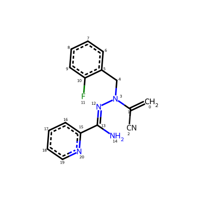 C=C(C#N)N(Cc1ccccc1F)/N=C(\N)c1ccccn1